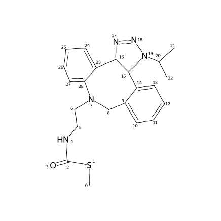 CSC(=O)NCCN1Cc2ccccc2C2C(N=NN2C(C)C)c2ccccc21